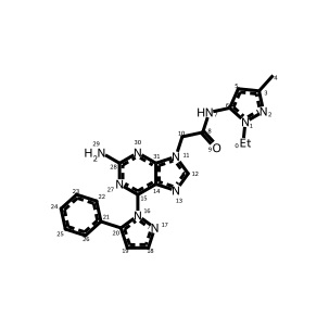 CCn1nc(C)cc1NC(=O)Cn1cnc2c(-n3nccc3-c3ccccc3)nc(N)nc21